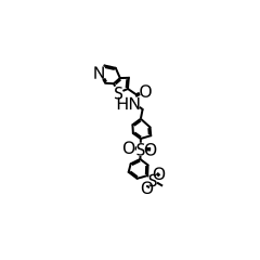 CS(=O)(=O)c1cccc(S(=O)(=O)c2ccc(CNC(=O)c3cc4ccncc4s3)cc2)c1